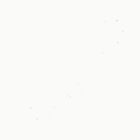 COc1ccc(CN2CC3(CCC(OCc4ccccc4)CC3)C2=O)cc1